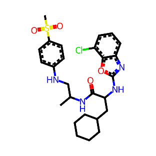 CC(CNc1ccc(S(C)(=O)=O)cc1)NC(=O)C(CC1CCCCC1)Nc1nc2cccc(Cl)c2o1